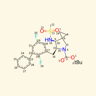 CC(C)(C)OC(=O)N1CC2(CC2)[C@H](NS(C)(=O)=O)[C@@H]1Cc1cc(F)cc(-c2ccccc2)c1F